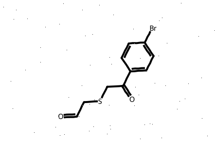 O=[C]CSCC(=O)c1ccc(Br)cc1